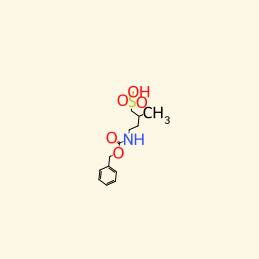 CC(CCNC(=O)OCc1ccccc1)CS(=O)(=O)O